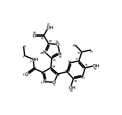 CCNC(=O)c1noc(-c2cc(C(C)C)c(O)cc2O)c1-c1noc(C(=O)O)n1